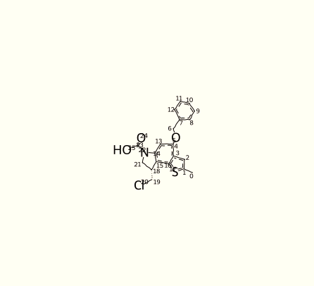 Cc1cc2c(OCc3ccccc3)cc3c(c2s1)[C@H](CCl)CN3C(=O)O